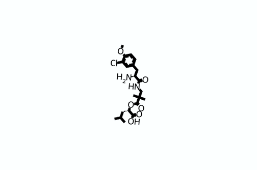 COc1ccc(C[C@@H](N)C(=O)NCC(C)(C)C(=O)O[C@@H](CC(C)C)C(=O)O)cc1Cl